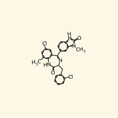 Cc1cc(Cl)cc2c1NC(=O)C(Cc1ccccc1Cl)N=C2c1ccc2[nH]c(=O)n(C)c2c1